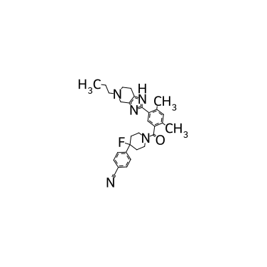 CCCN1CCc2[nH]c(-c3cc(C(=O)N4CCC(F)(c5ccc(C#N)cc5)CC4)c(C)cc3C)nc2C1